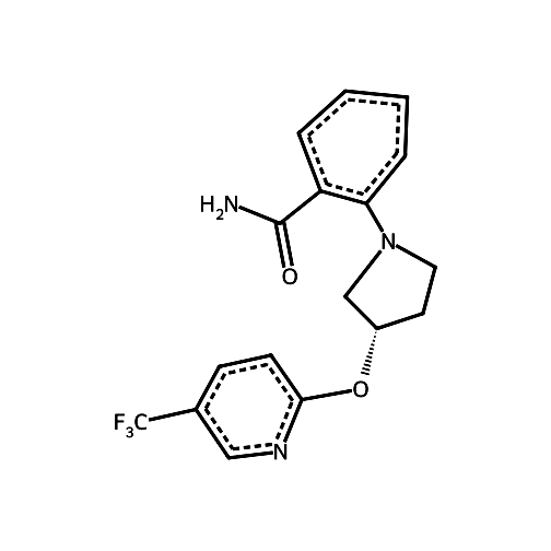 NC(=O)c1ccccc1N1CC[C@H](Oc2ccc(C(F)(F)F)cn2)C1